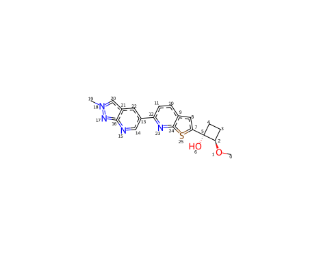 CO[C@@H]1CC[C@]1(O)c1cc2ccc(-c3cnc4nn(C)cc4c3)nc2s1